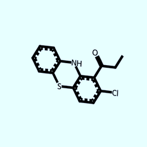 CCC(=O)c1c(Cl)ccc2c1Nc1ccccc1S2